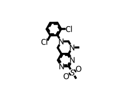 CN1CN(c2c(Cl)cccc2Cl)Cc2cnc(S(C)(=O)=O)nc21